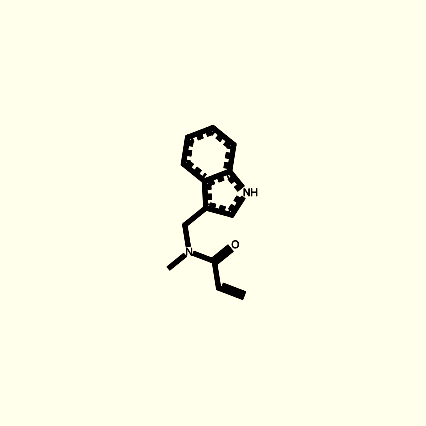 C=CC(=O)N(C)Cc1c[nH]c2ccccc12